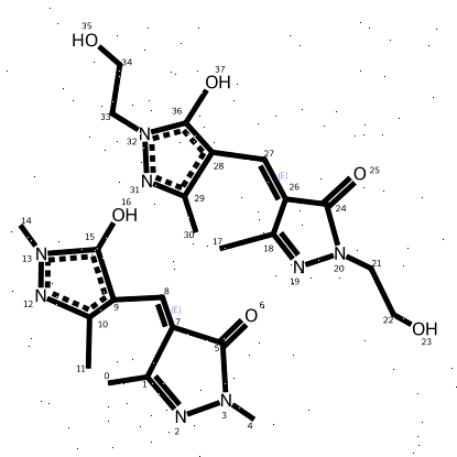 CC1=NN(C)C(=O)/C1=C/c1c(C)nn(C)c1O.CC1=NN(CCO)C(=O)/C1=C/c1c(C)nn(CCO)c1O